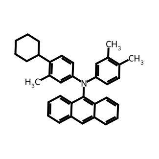 Cc1ccc(N(c2ccc(C3CCCCC3)c(C)c2)c2c3ccccc3cc3ccccc23)cc1C